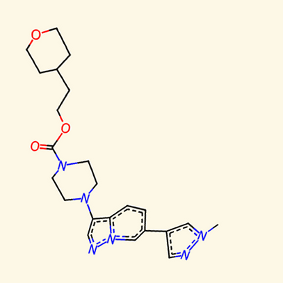 Cn1cc(-c2ccc3c(N4CCN(C(=O)OCCC5CCOCC5)CC4)cnn3c2)cn1